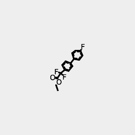 CCOC(=O)C(F)(F)c1ccc(-c2ccc(F)cc2)cc1